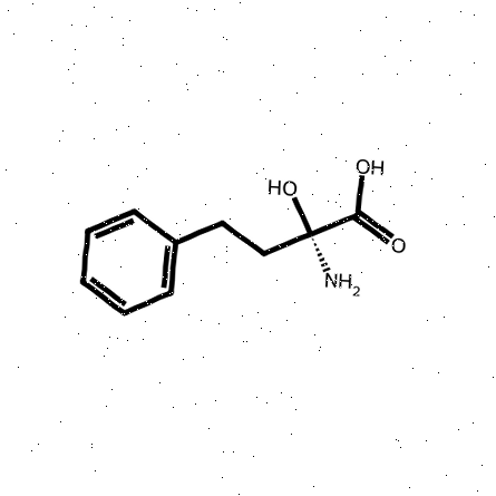 N[C@@](O)(CCc1ccccc1)C(=O)O